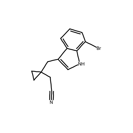 N#CCC1(Cc2c[nH]c3c(Br)cccc23)CC1